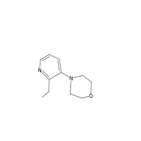 CCc1ncccc1N1CCOCC1